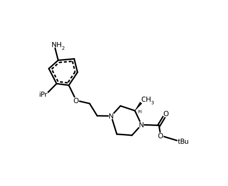 CC(C)c1cc(N)ccc1OCCN1CCN(C(=O)OC(C)(C)C)[C@H](C)C1